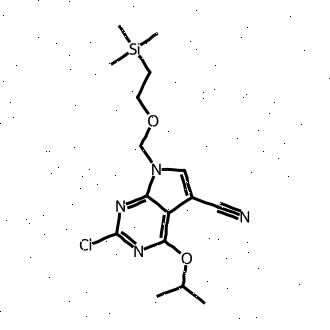 CC(C)Oc1nc(Cl)nc2c1c(C#N)cn2COCC[Si](C)(C)C